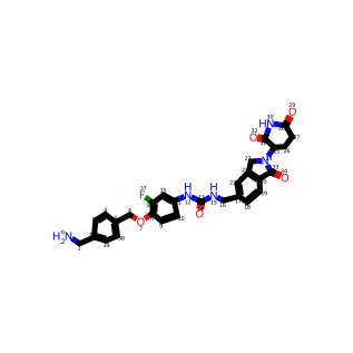 NCc1ccc(COc2ccc(NC(=O)NCc3ccc4c(c3)CN(C3CCC(=O)NC3=O)C4=O)cc2F)cc1